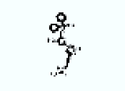 CC(C)(C)[Si](OC[C@H]1O[C@@H](n2cc(C#CCNC(=O)C(F)(F)F)o[nH]o2)C[C@@H]1O)(c1ccccc1)c1ccccc1